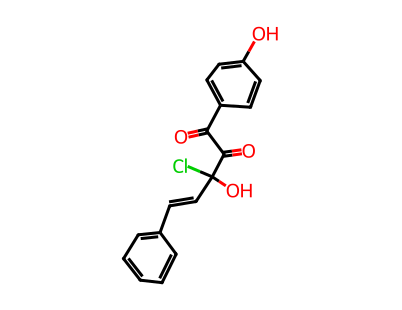 O=C(C(=O)C(O)(Cl)C=Cc1ccccc1)c1ccc(O)cc1